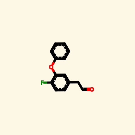 O=CCc1ccc(F)c(Oc2ccccc2)c1